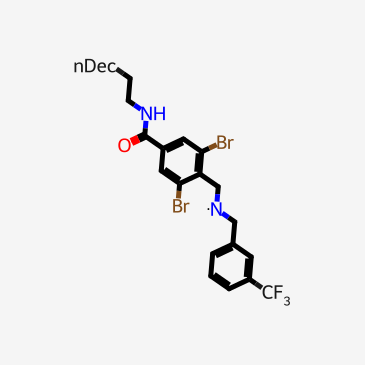 CCCCCCCCCCCCNC(=O)c1cc(Br)c(C[N]Cc2cccc(C(F)(F)F)c2)c(Br)c1